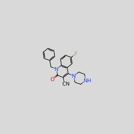 N#Cc1c(N2CCNCC2)c2cc(F)ccc2n(Cc2ccccc2)c1=O